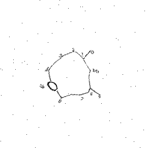 CC1CCCOCCC(C)C1